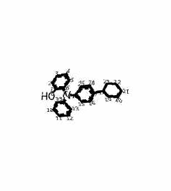 Oc1ccccc1N(c1ccccc1)c1ccc(C2CCCCC2)cc1